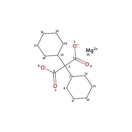 O=C([O-])C(C(=O)[O-])(C1CCCCC1)C1CCCCC1.[Mg+2]